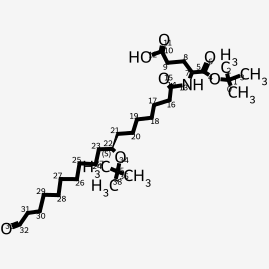 CC(C)(C)OC(=O)C(CCC(=O)O)NC(=O)CCCCCC[C@H](CCCCCCCCCC=O)OC(C)(C)C